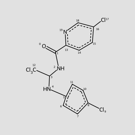 O=C(NC(Nc1ccc(Cl)cc1)C(Cl)(Cl)Cl)c1ccc(Cl)cn1